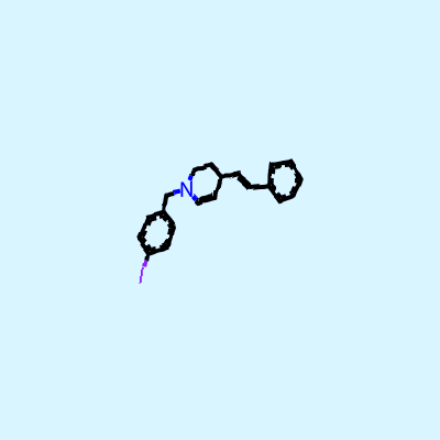 Ic1ccc(CN2C=CC(C=Cc3ccccc3)CC2)cc1